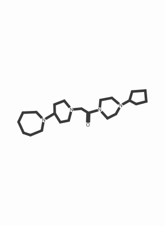 O=C(CN1CCC(N2CCCCCC2)CC1)N1CCN(C2CCCC2)CC1